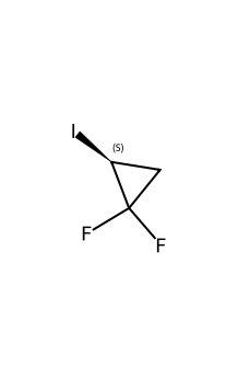 FC1(F)C[C@@H]1I